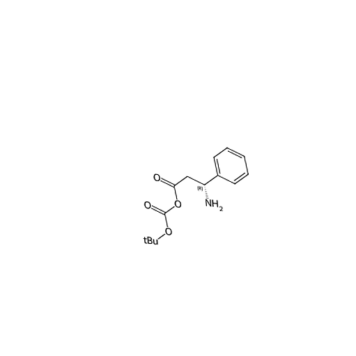 CC(C)(C)OC(=O)OC(=O)C[C@@H](N)c1ccccc1